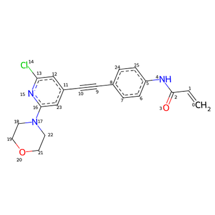 C=CC(=O)Nc1ccc(C#Cc2cc(Cl)nc(N3CCOCC3)c2)cc1